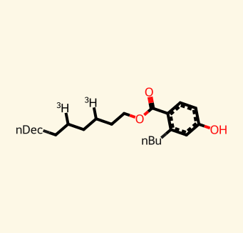 [3H]C(CCCCCCCCCCC)CC([3H])CCOC(=O)c1ccc(O)cc1CCCC